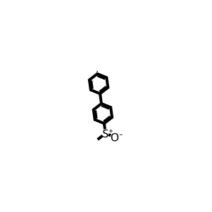 C[S+]([O-])c1ccc(-c2cc[c]cc2)cc1